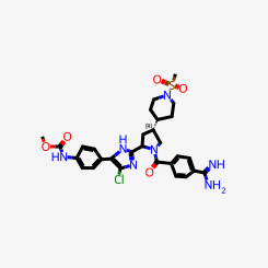 COC(=O)Nc1ccc(-c2[nH]c(C3C[C@H](C4CCN(S(C)(=O)=O)CC4)CN3C(=O)c3ccc(C(=N)N)cc3)nc2Cl)cc1